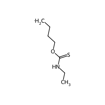 [CH2]CCCOC(=S)NCC